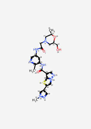 Cc1ncc(NC(=O)CN2C[C@H](CO)O[C@H](C)C2)cc1NC(=O)c1cnn2cc(-c3cnn(C)c3)sc12